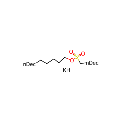 CCCCCCCCCCCCCCCOS(=O)(=O)CCCCCCCCCCC.[KH]